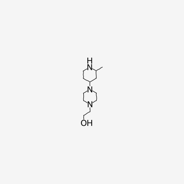 CC1CC(N2CCN(CCO)CC2)CCN1